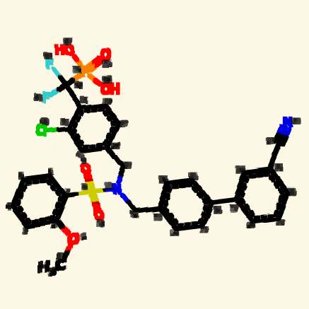 COc1ccccc1S(=O)(=O)N(Cc1ccc(-c2cccc(C#N)c2)cc1)Cc1ccc(C(F)(F)P(=O)(O)O)c(Cl)c1